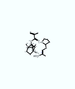 C/C(=C\CC1CCCO1)C(=O)O.C=C(C)C(=O)O[C@H]1C[C@@H]2CC[C@@]1(C)C2(C)C